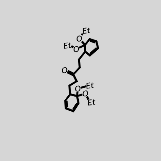 CCOC1(OCC)C=CC=CC1CCC(=O)CCC1C=CC=CC1(OCC)OCC